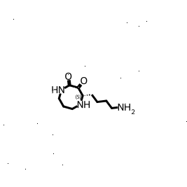 NCCCC[C@@H]1NCCCNC(=O)C1=O